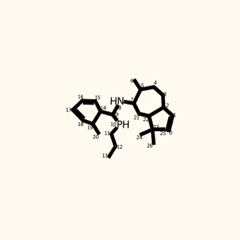 C=CC1CCC(C)C(NC(PCCC)C2C=CC=CC2C)CC1C(C)(C)C